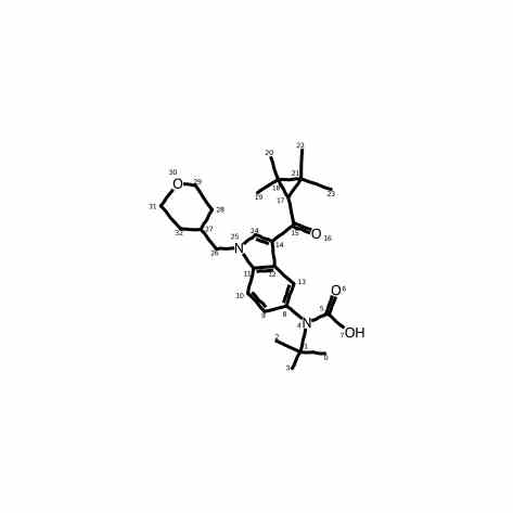 CC(C)(C)N(C(=O)O)c1ccc2c(c1)c(C(=O)C1C(C)(C)C1(C)C)cn2CC1CCOCC1